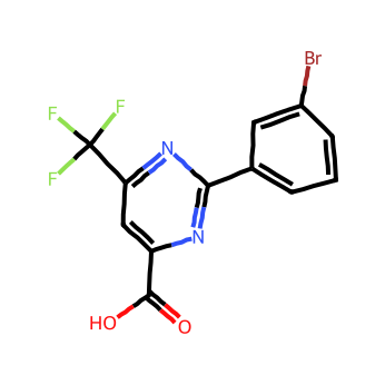 O=C(O)c1cc(C(F)(F)F)nc(-c2cccc(Br)c2)n1